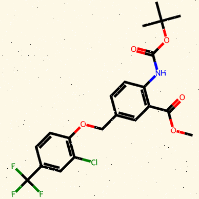 COC(=O)c1cc(COc2ccc(C(F)(F)F)cc2Cl)ccc1NC(=O)OC(C)(C)C